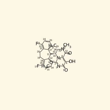 COc1nc(=O)c(O)c2n1[C@@H](C1c3cccc(F)c3CCc3c(F)cccc31)[C@H](C)N(C)C2=O